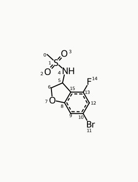 CS(=O)(=O)NC1COc2cc(Br)cc(F)c21